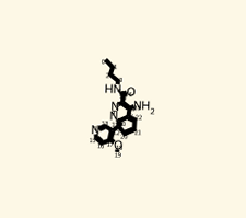 CCCCNC(=O)c1nnc2c(-c3cnccc3OC)cccc2c1N